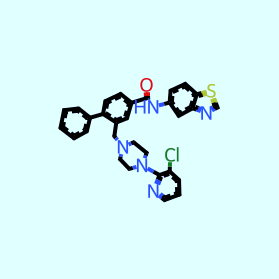 O=C(Nc1ccc2scnc2c1)c1ccc(-c2ccccc2)c(CN2CCN(c3ncccc3Cl)CC2)c1